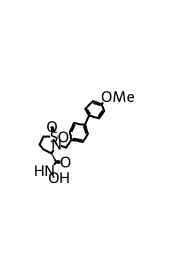 COc1ccc(-c2ccc(CN3[C@@H](C(=O)NO)CCCS3(=O)=O)cc2)cc1